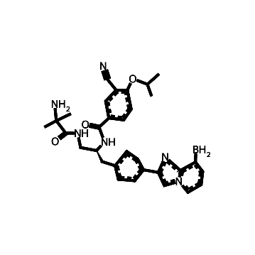 Bc1cccn2cc(-c3ccc(C[C@@H](CNC(=O)C(C)(C)N)NC(=O)c4ccc(OC(C)C)c(C#N)c4)cc3)nc12